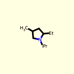 CCC1CC(C)CN1C(C)C